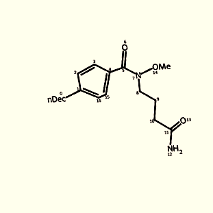 CCCCCCCCCCc1ccc(C(=O)N(CCCC(N)=O)OC)cc1